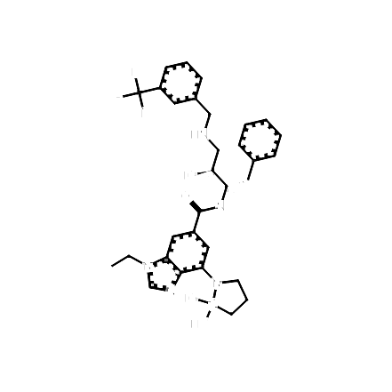 CCn1cnc2c(N3CCCS3(O)O)cc(C(=O)N[C@@H](Cc3ccccc3)[C@@H](O)CNCc3cccc(C(F)(F)F)c3)cc21